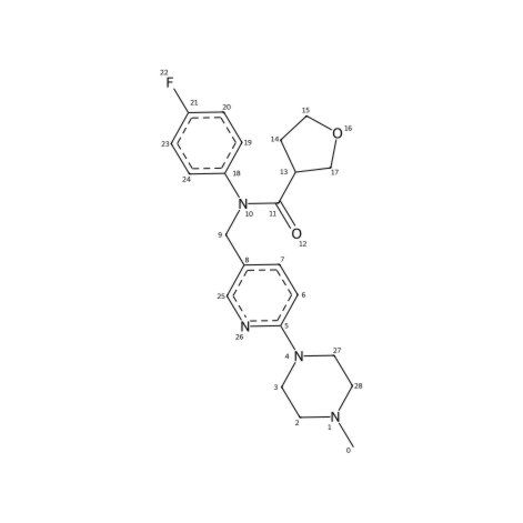 CN1CCN(c2ccc(CN(C(=O)C3CCOC3)c3ccc(F)cc3)cn2)CC1